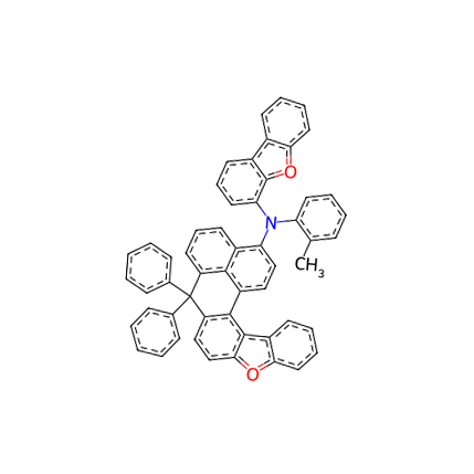 Cc1ccccc1N(c1ccc2c3c(cccc13)C(c1ccccc1)(c1ccccc1)c1ccc3oc4ccccc4c3c1-2)c1cccc2c1oc1ccccc12